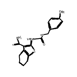 COc1ccc(CNC(=O)Nc2sc3c(c2C(N)=O)CCCC3)cc1